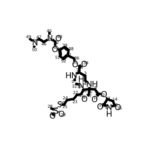 CNC(CCNC(C=O)(CC(=O)O[C@H]1CC(=O)NC1=O)C(CCCCCSS(C)(=O)=O)NC)C(=O)OCc1ccc(OC(=O)N(C)CCN(C)C)cc1